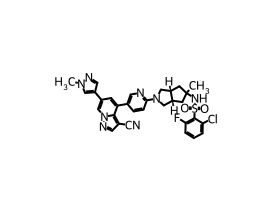 Cn1cc(-c2cc(-c3ccc(N4C[C@@H]5CC(C)(NS(=O)(=O)c6c(F)cccc6Cl)C[C@@H]5C4)nc3)c3c(C#N)cnn3c2)cn1